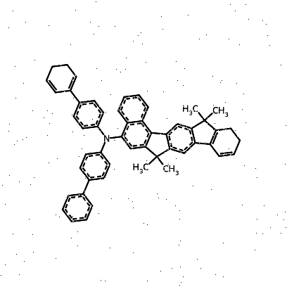 CC1(C)C2=C(C=CCC2)c2cc3c(cc21)-c1c(cc(N(c2ccc(C4=CCCC=C4)cc2)c2ccc(-c4ccccc4)cc2)c2ccccc12)C3(C)C